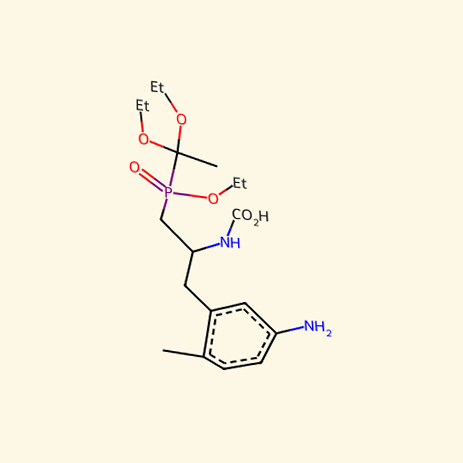 CCOC(C)(OCC)P(=O)(CC(Cc1cc(N)ccc1C)NC(=O)O)OCC